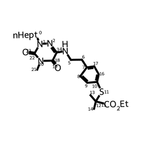 CCCCCCCn1nc(NCCc2ccc(SC(C)(C)C(=O)OCC)cc2)c(=O)n(C)c1=O